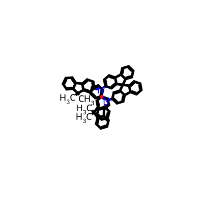 CC1(C)c2ccccc2-c2ccc(N(c3ccc4c(c3)C(C)(C)c3ccccc3-4)c3ccc4c(c3)C3(c5ccccc5-c5ccc(N(c6ccccc6)c6ccccc6)cc53)c3ccccc3-4)cc21